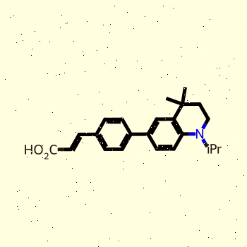 CC(C)N1CCC(C)(C)c2cc(-c3ccc(/C=C/C(=O)O)cc3)ccc21